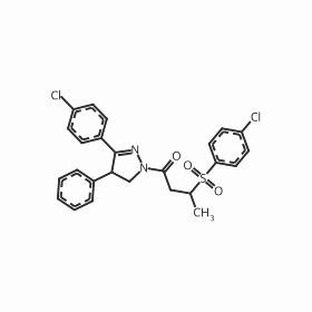 CC(CC(=O)N1CC(c2ccccc2)C(c2ccc(Cl)cc2)=N1)S(=O)(=O)c1ccc(Cl)cc1